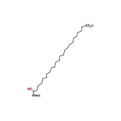 CCCCCC(O)CCCCCCCCCCCCCCCCCCCCCCC(=O)O